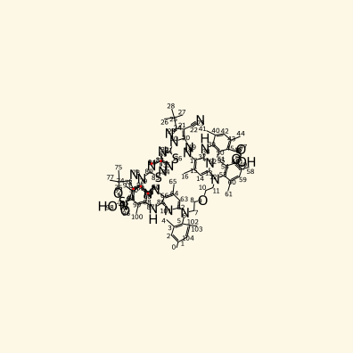 Cc1cc(C)c(N(CCOCCN(c2cc(C)c(N=Nc3c(C#N)c(C(C)(C)C)nn3-c3nc(C)ns3)c(Nc3c(C)cc(C)c(S(=O)(=O)O)c3C)n2)c2c(C)cc(C)cc2C)c2cc(C)c(N=Nc3c(C#N)c(C(C)(C)C)nn3-c3nc(C)ns3)c(Nc3c(C)cc(C)c(S(=O)(=O)O)c3C)n2)c(C)c1